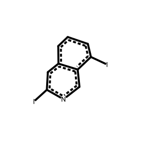 Ic1cc2cccc(I)c2cn1